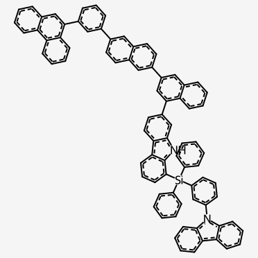 c1ccc([Si](c2ccccc2)(c2cccc(-n3c4ccccc4c4ccccc43)c2)c2cccc3c2[nH]c2cc(-c4cc(-c5ccc6cc(-c7cccc(-c8cc9ccccc9c9ccccc89)c7)ccc6c5)cc5ccccc45)ccc23)cc1